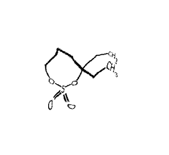 CCC1(CC)CCCOS(=O)(=O)O1